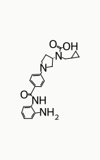 Nc1ccccc1NC(=O)c1ccc(N2CC[C@H](N(CC3CC3)C(=O)O)C2)cc1